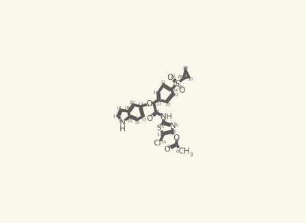 CC(=O)Oc1nc(NC(=O)C(Oc2ccc3[nH]ccc3c2)c2ccc(S(=O)(=O)C3CC3)cc2)sc1Cl